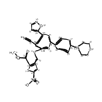 COC(=O)c1sc([N+](=O)[O-])cc1COc1nc(-c2ccc(N3CCOCC3)cc2)cc(-c2ccno2)c1C#N